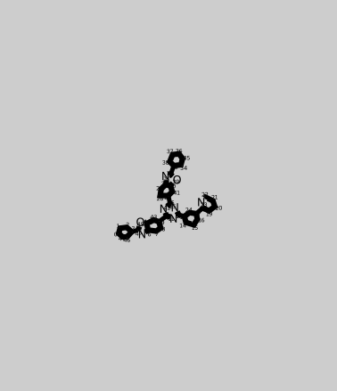 c1ccc(-c2nc3ccc(-c4nc(-c5cccc(-c6ccccn6)c5)nc(-c5ccc6nc(-c7ccccc7)oc6c5)n4)cc3o2)cc1